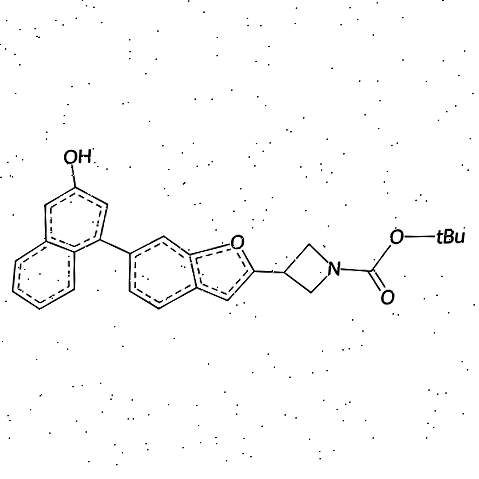 CC(C)(C)OC(=O)N1CC(c2cc3ccc(-c4cc(O)cc5ccccc45)cc3o2)C1